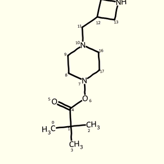 CC(C)(C)C(=O)ON1CCN(CC2CNC2)CC1